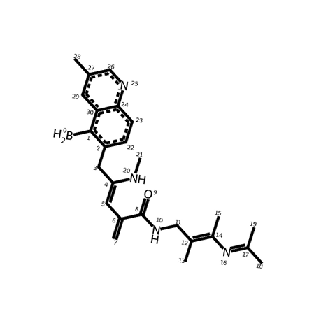 Bc1c(C/C(=C/C(=C)C(=O)NC/C(C)=C(\C)N=C(C)C)NC)ccc2ncc(C)cc12